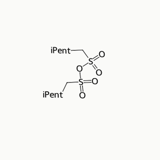 CCCC(C)CS(=O)(=O)OS(=O)(=O)CC(C)CCC